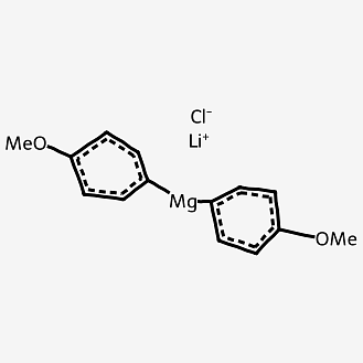 COc1cc[c]([Mg][c]2ccc(OC)cc2)cc1.[Cl-].[Li+]